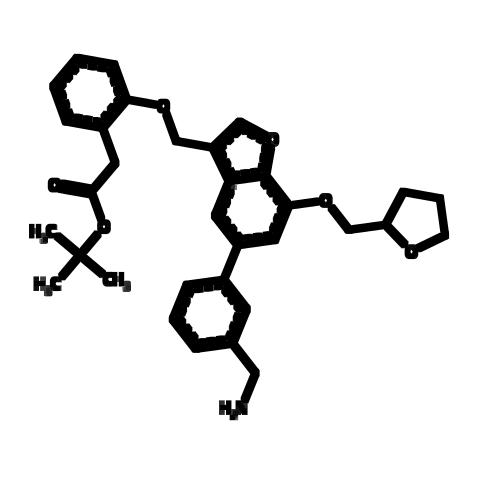 CC(C)(C)OC(=O)Cc1ccccc1OCc1coc2c(OCC3CCCO3)cc(-c3cccc(CN)c3)cc12